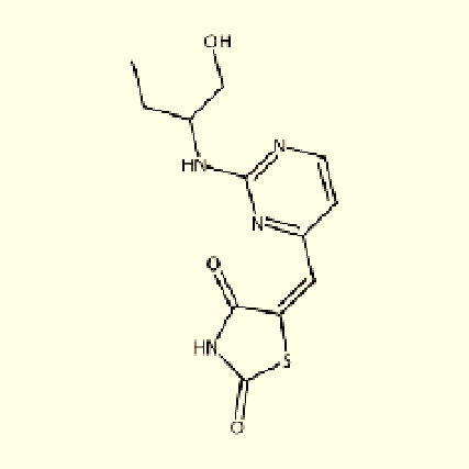 CCC(CO)Nc1nccc(C=C2SC(=O)NC2=O)n1